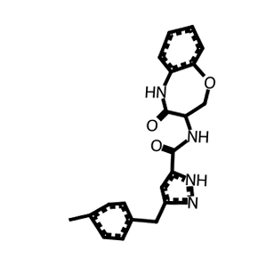 Cc1ccc(Cc2cc(C(=O)NC3COc4ccccc4NC3=O)[nH]n2)cc1